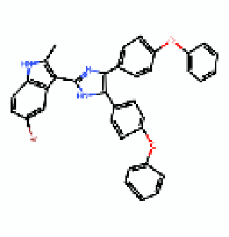 Cc1[nH]c2ccc(Br)cc2c1-c1nc(-c2ccc(Oc3ccccc3)cc2)c(-c2ccc(Oc3ccccc3)cc2)[nH]1